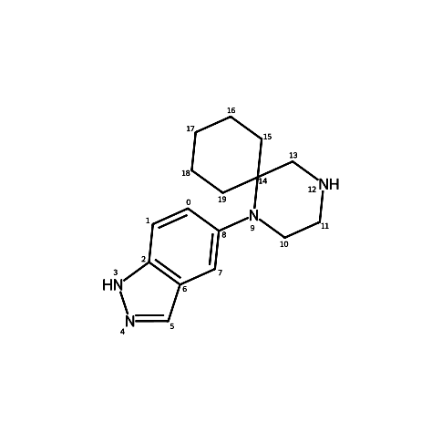 c1cc2[nH]ncc2cc1N1CCNCC12CCCCC2